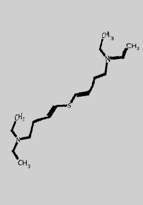 CCN(CC)CCC=CSC=CCCN(CC)CC